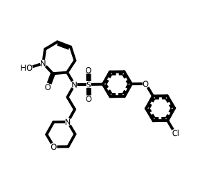 O=C1C(N(CCN2CCOCC2)S(=O)(=O)c2ccc(Oc3ccc(Cl)cc3)cc2)CC=CCN1O